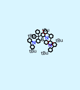 CC(C)(C)c1cc2c3c(c1)C(c1ccccc1)(c1ccccc1)c1cc(-n4c5cc(C(C)(C)C)ccc5c5ccc(C(C)(C)C)cc54)ccc1B3c1ccc(-n3c4cc(C(C)(C)C)ccc4c4ccc(C(C)(C)C)cc43)cc1N2c1c(-c2ccccc2)cccc1-c1ccccc1